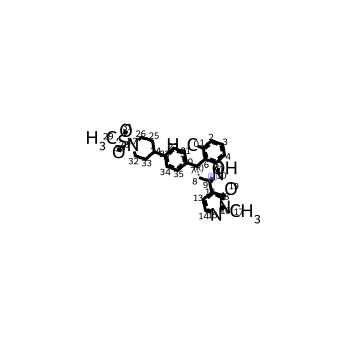 Cc1ccccc1[C@H](C/C(=N\O)c1ccnn(C)c1=O)c1ccc(C2CCN(S(C)(=O)=O)CC2)cc1